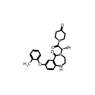 Cc1ccccc1Oc1ccc2c(c1)C(=O)N([C@@H](C(=O)N1CCC(=O)CC1)C(C)C)CCN2